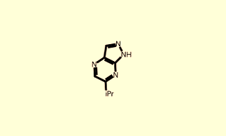 CC(C)c1cnc2cn[nH]c2n1